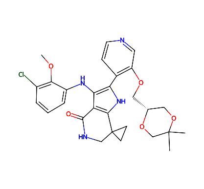 COc1c(Cl)cccc1Nc1c(-c2ccncc2OC[C@@H]2COC(C)(C)CO2)[nH]c2c1C(=O)NCC21CC1